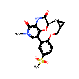 C[C@H]1Oc2c(-c3cc(S(C)(=O)=O)ccc3OCC3CC3)cn(C)c(=O)c2NC1=O